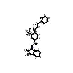 O=C1Nc2ccccc2/C1=C\Nc1ccc(NCCc2ccccn2)c(C(F)(F)F)c1